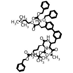 COC(=O)CC(Cc1cccc(-c2ccc(OCc3ccccc3)c(C[C@H](NC(=O)OCc3ccccc3)C(=O)OCC[Si](C)(C)C)c2)c1)NC(=O)[C@H](CCCNC(=O)OCc1ccccc1)NC(=O)OC(C)(C)C